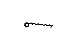 CC(C)CCCCCCCCCC=Cc1ccccc1